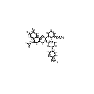 COc1cc(CN(Cc2cn(C3CC3)c3cc(F)c(F)cc3c2=O)[C@H]2CCCN(c3ccc(N)nc3)C2)ccn1